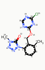 Cc1cccc(-n2nnn(C)c2=O)c1COc1ncnc(Cl)n1